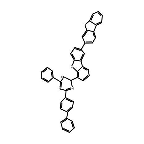 c1ccc(C2=NC(c3ccc(-c4ccccc4)cc3)=NC(c3cccc4c3oc3ccc(-c5ccc6c(c5)oc5ccccc56)cc34)N2)cc1